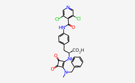 CN(Cc1ccccc1)c1c(N[C@@H](Cc2ccc(NC(=O)c3c(Cl)cncc3Cl)cc2)C(=O)O)c(=O)c1=O